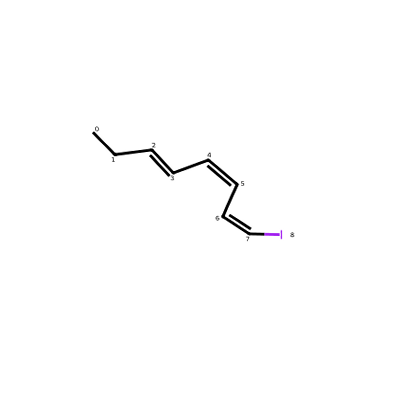 CC/C=C/C=C\C=C/I